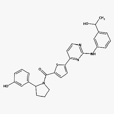 CC(O)c1cccc(Nc2nccc(-c3ccc(C(=O)N4CCCC4c4cccc(O)c4)s3)n2)c1